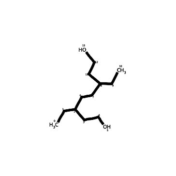 CCC(CCO)CCC(CC)CCO